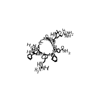 CC(=O)N[C@@H](CCCNC(=N)N)C(=O)N[C@H]1CC(=O)NCCCC[C@@H](C(N)=O)NC(=O)[C@H](Cc2c[nH]c3ccccc23)NC(=O)[C@H](CCCNC(=N)N)NC(=O)[C@@H](Cc2ccccc2)NC(=O)[C@H](Cc2cccc(C(N)=O)c2)NC1=O